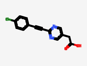 O=C(O)Cc1cnc(C#Cc2ccc(Cl)cc2)nc1